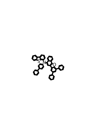 c1ccc(-c2ccc(N(c3cc4c5cc(-c6ccccc6)cc(-c6ccccc6)c5oc4c4ccccc34)c3cccc4c3sc3ccccc34)cc2)cc1